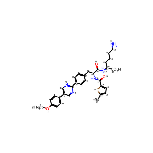 CCCCCCCOc1ccc(-c2cnc(-c3ccc(CC(NC(=O)c4ccc(C(C)(C)C)s4)C(=O)N[C@@H](CCCCN)C(=O)O)cc3)nc2)cc1